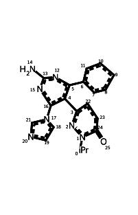 CC(C)n1nc(-c2c(-c3ccccc3)nc(N)nc2-n2ccnc2)ccc1=O